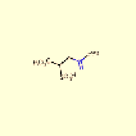 CCCCNCC(C(=O)O)S(=O)(=O)O